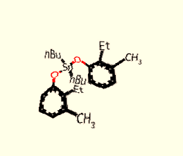 CCC[CH2][Sn]([CH2]CCC)([O]c1cccc(C)c1CC)[O]c1cccc(C)c1CC